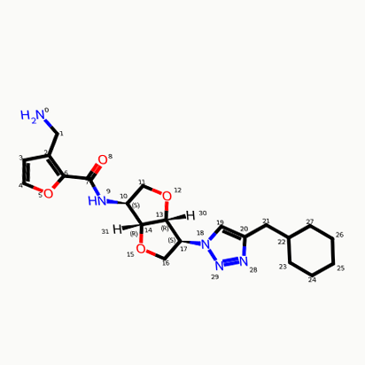 NCc1ccoc1C(=O)N[C@H]1CO[C@H]2[C@@H]1OC[C@@H]2n1cc(CC2CCCCC2)nn1